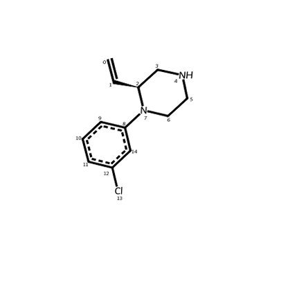 C=C[C@H]1CNCCN1c1cccc(Cl)c1